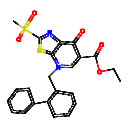 CCOC(=O)c1cn(Cc2ccccc2-c2ccccc2)c2sc(S(C)(=O)=O)nc2c1=O